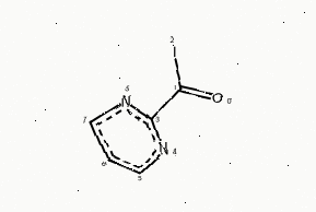 O=C(I)c1ncccn1